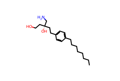 CCCCCCCCc1ccc(CC[C@](O)(CN)CCO)cc1